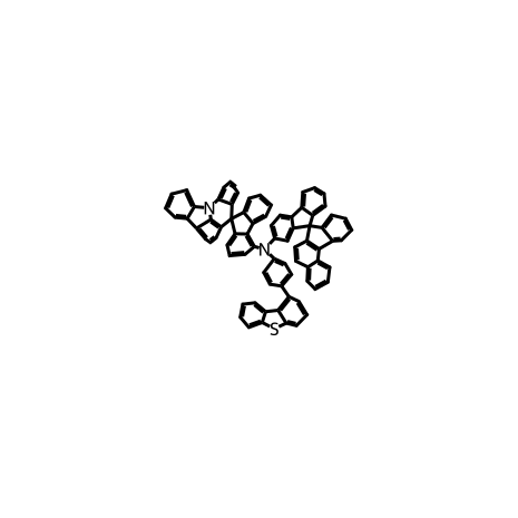 c1ccc2c(c1)-c1ccc(N(c3ccc(-c4cccc5sc6ccccc6c45)cc3)c3cccc4c3-c3ccccc3C43c4ccccc4-n4c5ccccc5c5cccc3c54)cc1C21c2ccccc2-c2c1ccc1ccccc21